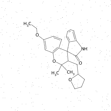 CCOc1ccc2c(c1)OC(C)(C)C(CC1CCCO1)C21C(=O)Nc2ccccc21